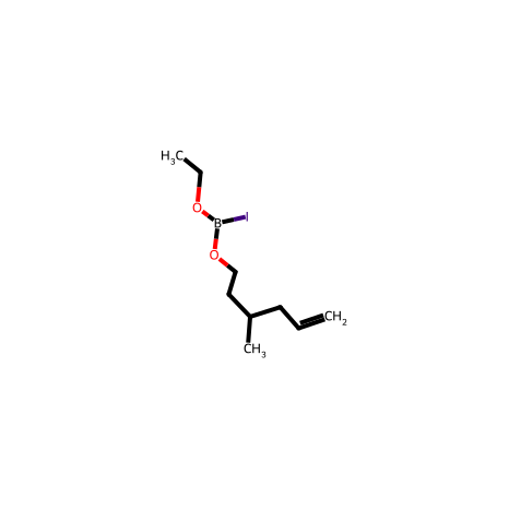 C=CCC(C)CCOB(I)OCC